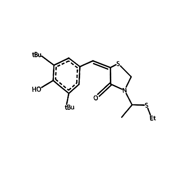 CCSC(C)N1CSC(=Cc2cc(C(C)(C)C)c(O)c(C(C)(C)C)c2)C1=O